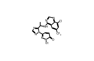 CCn1nc(-n2ncnc2C(C)Nc2ncnc3c(Cl)cc(C(F)(F)F)cc23)ccc1=O